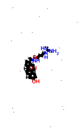 CC(NOCCCCNC(=N)N)[C@H]1CC[C@]2(O)[C@@H]3CC[C@@H]4C[C@@H](O)CC[C@]4(C)[C@H]3CC[C@]12C